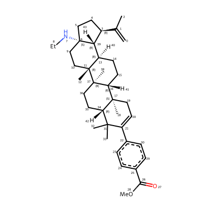 C=C(C)[C@@H]1CC[C@]2(NCC)CC[C@]3(C)[C@H](CC[C@@H]4[C@@]5(C)CC=C(c6ccc(C(=O)OC)cc6)C(C)(C)[C@@H]5CC[C@]43C)[C@@H]12